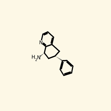 N[C@H]1C[C@@H](c2ccccc2)Cc2cccnc21